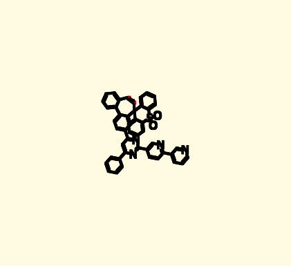 O=S1(=O)c2ccccc2C2(c3ccccc3-c3ccccc3-c3ccc(-c4cc(-c5ccccc5)nc(-c5ccc(-c6cccnc6)nc5)n4)cc32)c2ccccc21